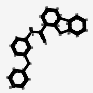 O=C(Nc1cccc(Cc2ccncc2)c1)c1cccc2c1Cc1ccccc1-2